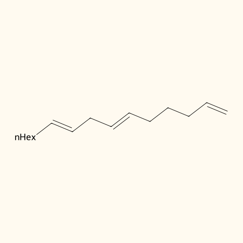 C=CCCCC=CCC=CCCCCCC